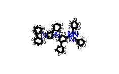 c1ccc(-c2cc(-c3nc(-c4ccccc4)nc(-c4ccccc4)n3)cc(-n3c4ccccc4c4cc(-n5c6ccccc6c6ccccc65)ccc43)c2)cc1